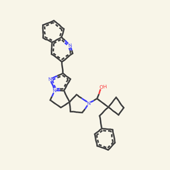 OC(N1CCC2(CCn3nc(-c4cnc5ccccc5c4)cc32)C1)C1(Cc2ccccc2)CCC1